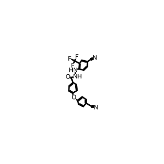 N#Cc1ccc(Oc2ccc(C(=O)NNc3ccc(C#N)cc3C(F)(F)F)cc2)cc1